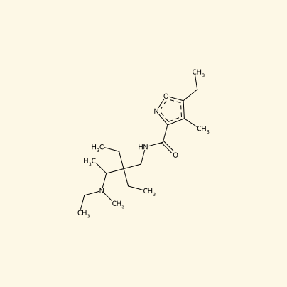 CCc1onc(C(=O)NCC(CC)(CC)C(C)N(C)CC)c1C